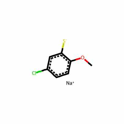 COc1ccc(Cl)cc1[S-].[Na+]